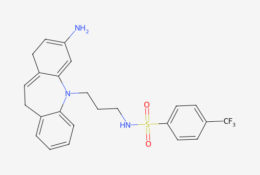 NC1=CCC2=CCc3ccccc3N(CCCNS(=O)(=O)c3ccc(C(F)(F)F)cc3)C2=C1